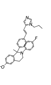 CCCn1cncc1/C=C/c1ccc(C2(C)c3ccc(OC)cc3CCN2c2ccc(F)cc2)cc1